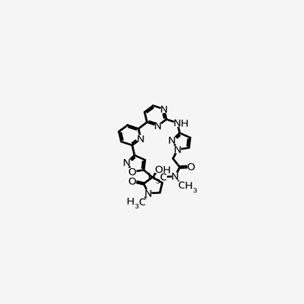 CN(C)C(=O)Cn1ccc(Nc2nccc(-c3cccc(-c4cc([C@]5(O)CCN(C)C5=O)on4)n3)n2)n1